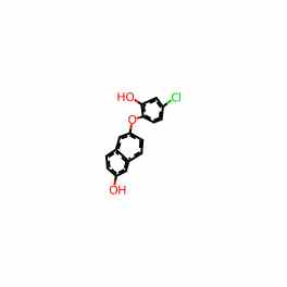 Oc1ccc2cc(Oc3ccc(Cl)cc3O)ccc2c1